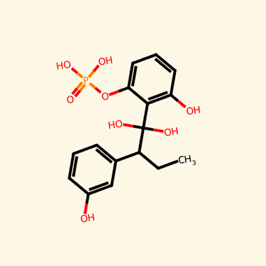 CCC(c1cccc(O)c1)C(O)(O)c1c(O)cccc1OP(=O)(O)O